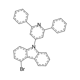 Brc1cccc2c1c1ccccc1n2-c1cc(-c2ccccc2)nc(-c2ccccc2)c1